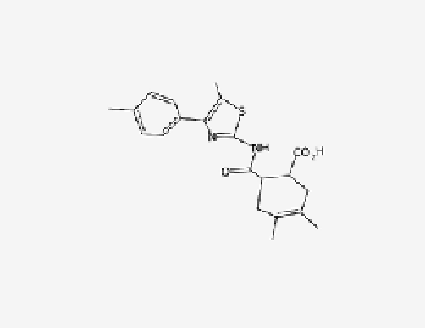 CC1=C(C)CC(C(=O)Nc2nc(-c3ccc(C)cc3)c(C)s2)C(C(=O)O)C1